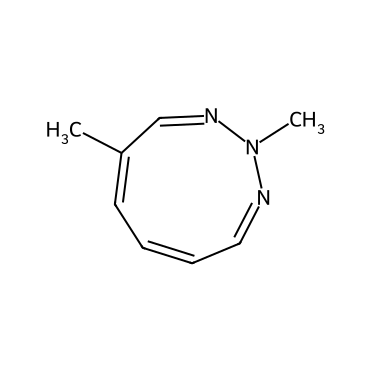 Cc1ccccnn(C)nc1